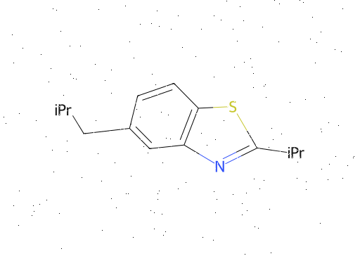 CC(C)Cc1ccc2sc(C(C)C)nc2c1